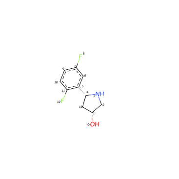 O[C@H]1CN[C@@H](c2cc(F)ccc2F)C1